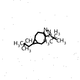 CC(C)(C)CC1C2CCc3nnn(C(C)(C)C)c3CCC21